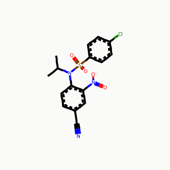 CC(C)N(c1ccc(C#N)cc1[N+](=O)[O-])S(=O)(=O)c1ccc(Cl)cc1